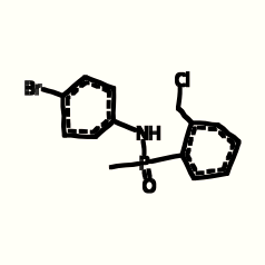 CP(=O)(Nc1ccc(Br)cc1)c1ccccc1CCl